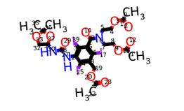 CC(=O)OCCN(CCOC(C)=O)C(=O)c1c(I)c(COC(C)=O)c(I)c(NC(=O)NC2COC(C)(C)O2)c1I